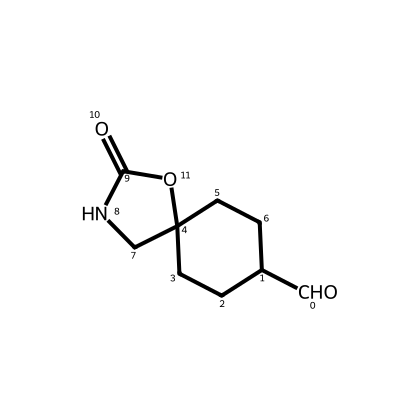 O=CC1CCC2(CC1)CNC(=O)O2